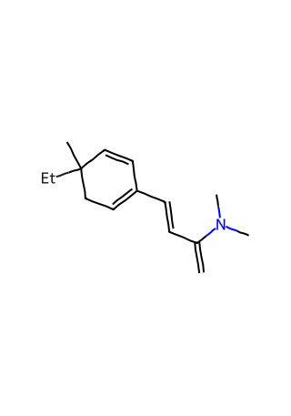 C=C(/C=C/C1=CCC(C)(CC)C=C1)N(C)C